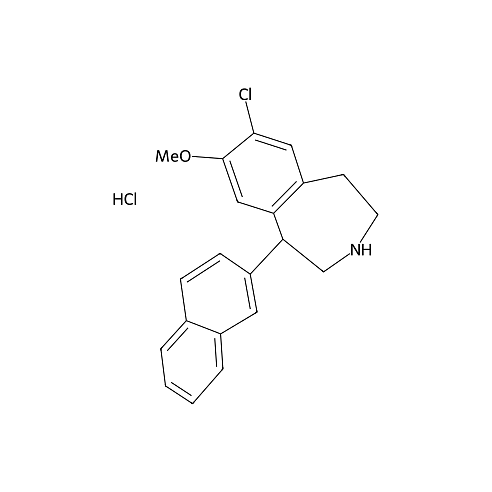 COc1cc2c(cc1Cl)CCNCC2c1ccc2ccccc2c1.Cl